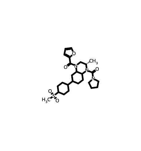 C[C@H]1CN(C(=O)c2ccco2)C2CC(C3CCC(S(C)(=O)=O)CC3)CCC2N1C(=O)N1CCCC1